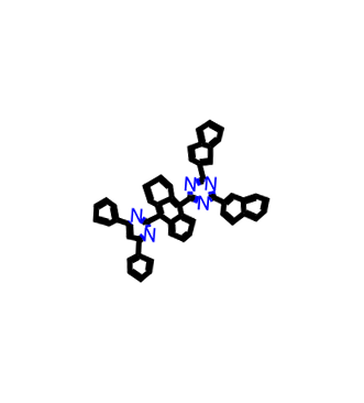 c1ccc(-c2cc(-c3ccccc3)nc(-c3c4ccccc4c(-c4nc(-c5ccc6ccccc6c5)nc(-c5ccc6ccccc6c5)n4)c4ccccc34)n2)cc1